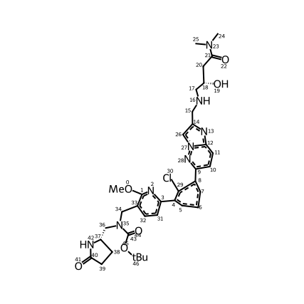 COc1nc(-c2cccc(-c3ccc4nc(CNC[C@@H](O)CC(=O)N(C)C)cn4n3)c2Cl)ccc1CN(C[C@@H]1CCC(=O)N1)C(=O)OC(C)(C)C